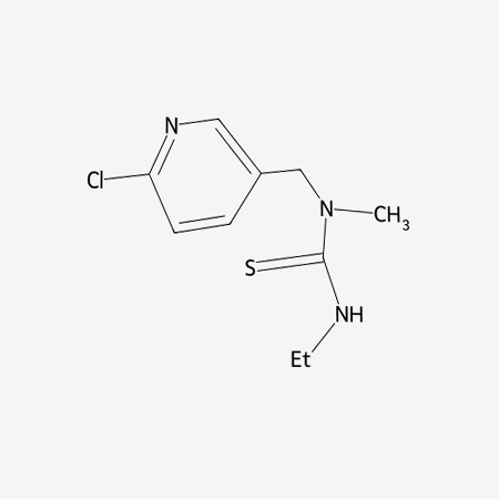 CCNC(=S)N(C)Cc1ccc(Cl)nc1